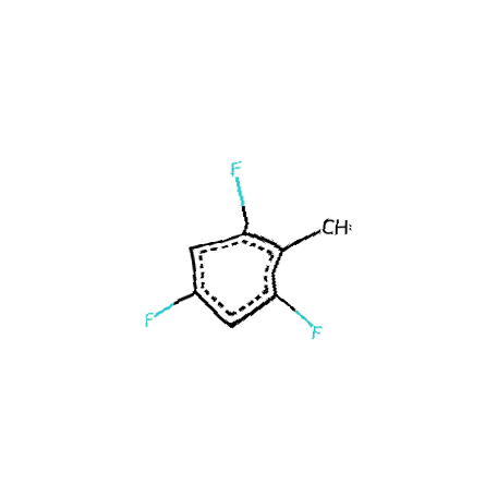 [CH]c1c(F)cc(F)cc1F